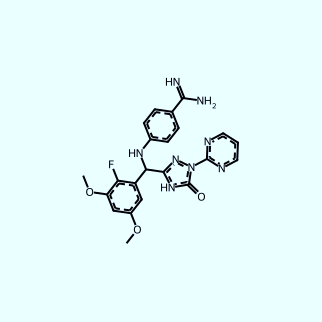 COc1cc(OC)c(F)c(C(Nc2ccc(C(=N)N)cc2)c2nn(-c3ncccn3)c(=O)[nH]2)c1